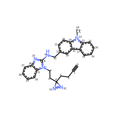 C#CCCC1(CCn2c(NCc3ccc4c(c3)c3ccccc3n4CC)nc3ccccc32)N=N1